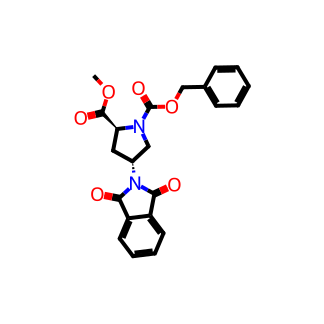 COC(=O)[C@@H]1C[C@@H](N2C(=O)c3ccccc3C2=O)CN1C(=O)OCc1ccccc1